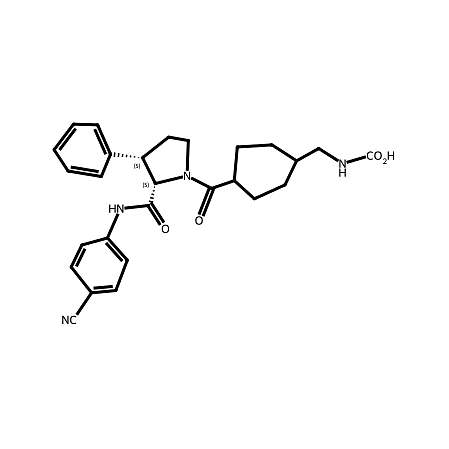 N#Cc1ccc(NC(=O)[C@@H]2[C@H](c3ccccc3)CCN2C(=O)C2CCC(CNC(=O)O)CC2)cc1